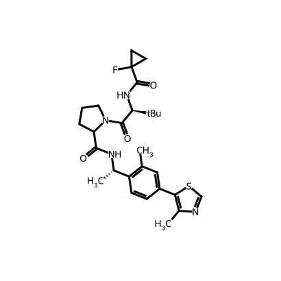 Cc1cc(-c2scnc2C)ccc1[C@H](C)NC(=O)C1CCCN1C(=O)[C@@H](NC(=O)C1(F)CC1)C(C)(C)C